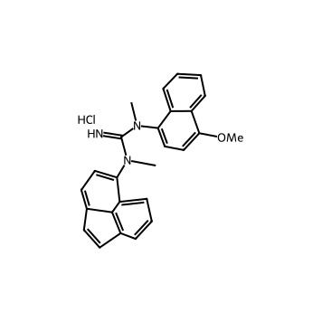 COc1ccc(N(C)C(=N)N(C)c2ccc3c4c(cccc24)C=C3)c2ccccc12.Cl